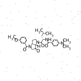 COc1cccc(C(=O)N2CC(=O)[C@@H]3C2CCN3C(=O)[C@H](CC(C)C)NC(=O)c2ccc(N(C)C)cc2)c1